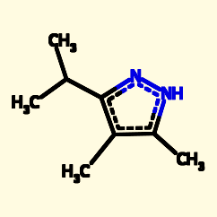 Cc1[nH]nc(C(C)C)c1C